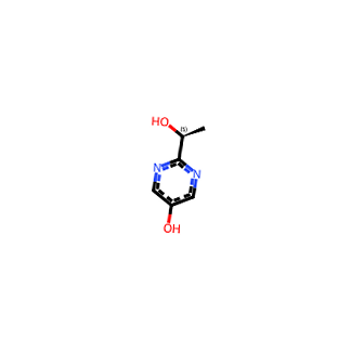 C[C@H](O)c1ncc(O)cn1